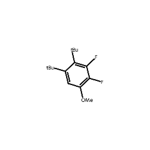 COc1cc(C(C)(C)C)c(C(C)(C)C)c(F)c1F